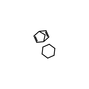 C1=CC2C=CC1C2.[CH]1CCCCC1